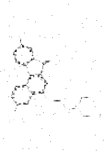 CCN(CC)CCOc1cc2c(c3ccc(C)cc13)-c1ccc(C)cc1C2=O.Cl